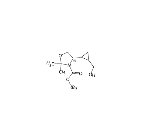 CC(C)(C)OC(=O)N1[C@@H](C2CC2CO)COC1(C)C